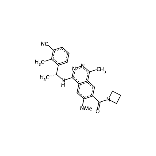 CNc1cc2c(N[C@H](C)c3cccc(C#N)c3C)nnc(C)c2cc1C(=O)N1CCC1